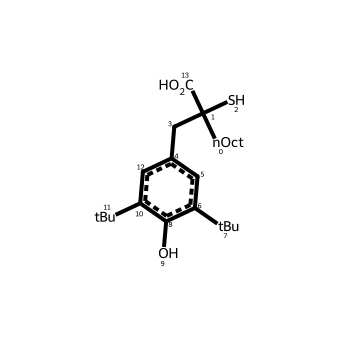 CCCCCCCCC(S)(Cc1cc(C(C)(C)C)c(O)c(C(C)(C)C)c1)C(=O)O